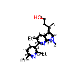 CCc1cc2c([C@H](C)CCO)cn(C)c2nc1-c1ccc(C(C)C)nc1CC